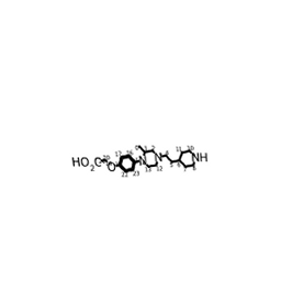 CC1CN(CCC2CCNCC2)CCN1c1ccc(OCC(=O)O)cc1